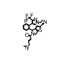 CCn1cc(-c2c(F)cccc2C2c3cc(C#N)sc3CN2C(=O)C=CCN(C)C)c(C(F)(F)F)n1